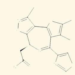 Cc1noc2c1-c1sc(C)c(C)c1C(c1cscn1)=N[C@H]2CC(N)=O